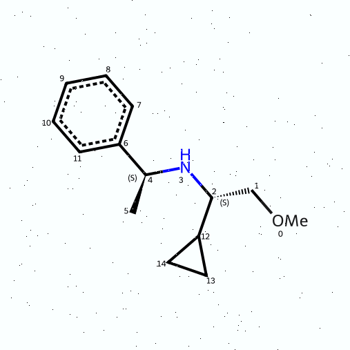 COC[C@@H](N[C@@H](C)c1ccccc1)C1CC1